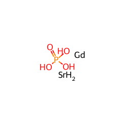 O=P(O)(O)O.[Gd].[SrH2]